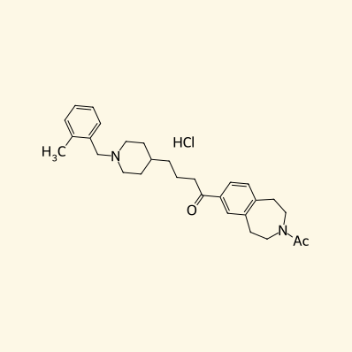 CC(=O)N1CCc2ccc(C(=O)CCCC3CCN(Cc4ccccc4C)CC3)cc2CC1.Cl